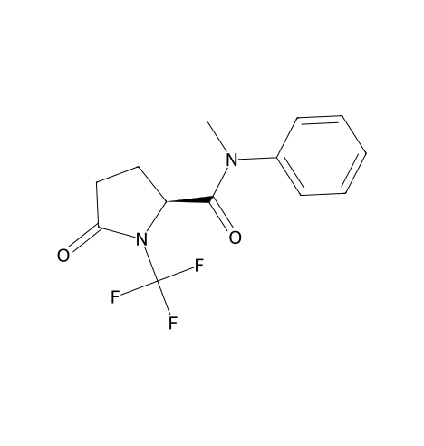 CN(C(=O)[C@@H]1CCC(=O)N1C(F)(F)F)c1ccccc1